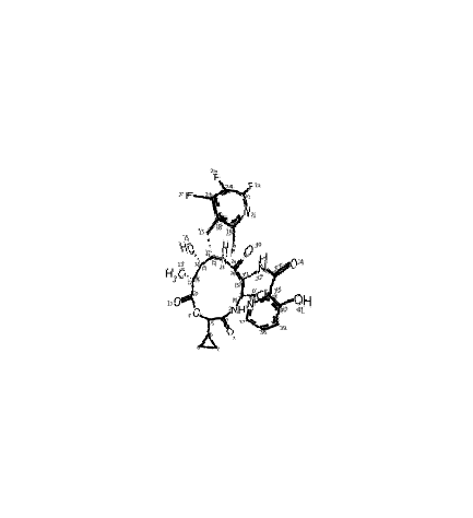 C[C@H]1NC(=O)C(C2CC2)OC(=O)[C@H](C)[C@H](O)[C@H](Cc2c(F)nc(F)c(F)c2F)NC(=O)[C@H]1NC(=O)c1ncccc1O